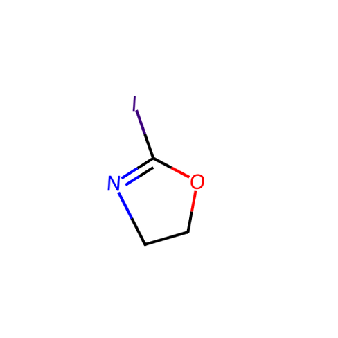 IC1=NCCO1